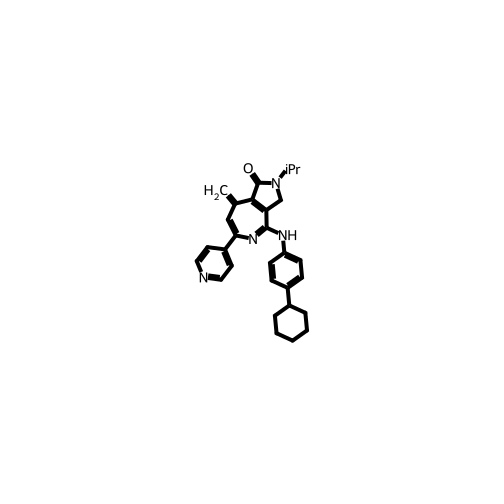 C=C1C=C(c2ccncc2)N=C(Nc2ccc(C3CCCCC3)cc2)C2=C1C(=O)N(C(C)C)C2